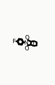 O=C1C2C3CCC(O3)C2C(=O)N1c1ccc(F)cc1